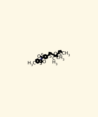 Cc1ccc2c(c1)SC(=O)/C2=C1/C(=O)Sc2cc(-c3ccc(-c4oc(-c5ccc(C)s5)c(C)c4C)s3)ccc21